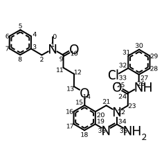 CN(Cc1ccccc1)C(=O)CCCOc1cccc2c1CN(CC(=O)Nc1ccccc1Cl)C(N)=N2